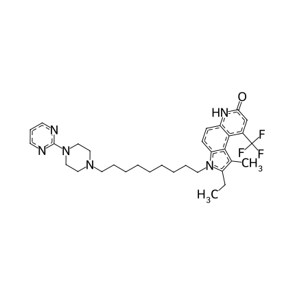 CCc1c(C)c2c3c(C(F)(F)F)cc(=O)[nH]c3ccc2n1CCCCCCCCCN1CCN(c2ncccn2)CC1